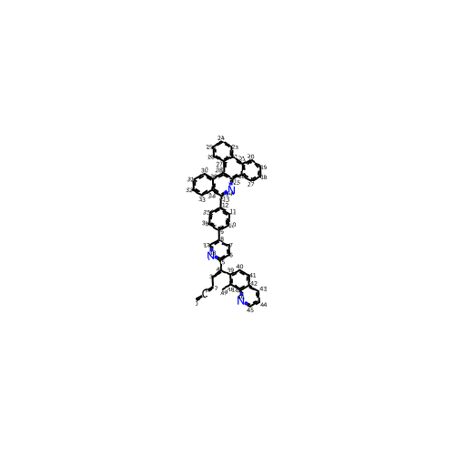 C=C=C/C=C(/c1ccc(-c2ccc(-c3nc4c5ccccc5c5ccccc5c4c4ccccc34)cc2)cn1)c1ccc2cccnc2c1C